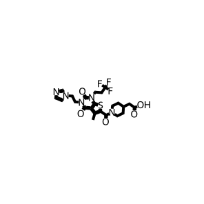 Cc1c(C(=O)N2CCC(CC(=O)O)CC2)sc2c1c(=O)n(CCn1ccnc1)c(=O)n2CCC(F)(F)F